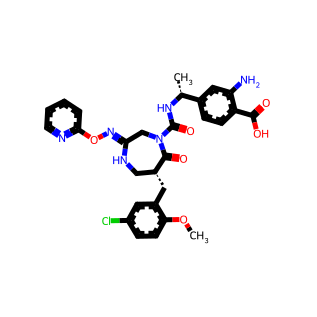 COc1ccc(Cl)cc1C[C@@H]1CN/C(=N\Oc2ccccn2)CN(C(=O)N[C@H](C)c2ccc(C(=O)O)c(N)c2)C1=O